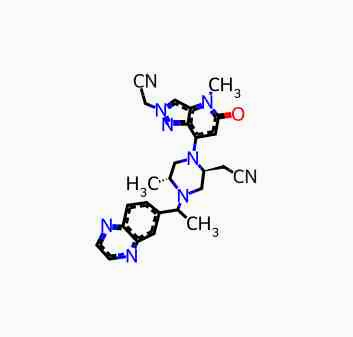 CC(c1ccc2nccnc2c1)N1C[C@H](CC#N)N(c2cc(=O)n(C)c3cn(CC#N)nc23)C[C@H]1C